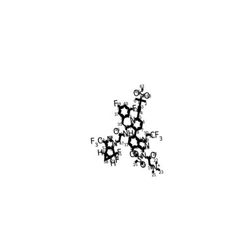 CC(C)(C#Cc1ccc(-c2ccc(Cl)c3c(N(C(=O)C[N+](C)(C)C)S(C)(=O)=O)nn(CC(F)(F)F)c23)c([C@H](Cc2cc(F)cc(F)c2)NC(=O)Cn2nc(C(F)(F)F)c3c2C(F)(F)[C@@H]2C[C@H]32)n1)S(C)(=O)=O